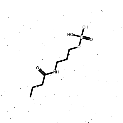 CCCC(=O)NCCCOP(=O)(O)O